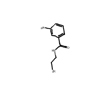 CCCc1cccc(C(=O)NCCC(C)C)c1